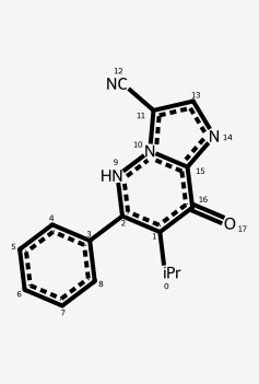 CC(C)c1c(-c2ccccc2)[nH]n2c(C#N)cnc2c1=O